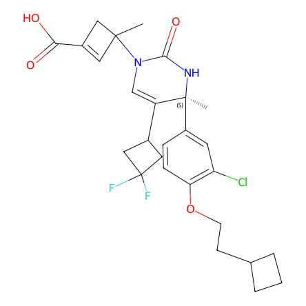 CC1(N2C=C(C3CC(F)(F)C3)[C@](C)(c3ccc(OCCC4CCC4)c(Cl)c3)NC2=O)C=C(C(=O)O)C1